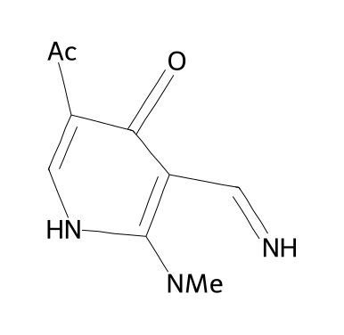 CNc1[nH]cc(C(C)=O)c(=O)c1C=N